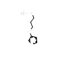 CCCCCCCCOc1[c]scc1